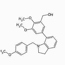 COc1ccc(CN2CCc3cccc(-c4cc(CO)c(OC)c(OC)c4)c32)cc1